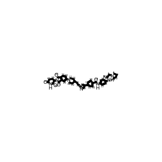 C[C@H]1CCCN1Cc1nc2cc(NC(=O)c3ccc(-c4cnn(CCC5CCN(c6ccc7c(c6)C(=O)N(C6CCC(=O)NC6=O)C7=O)CC5)c4)cc3)ccc2[nH]1